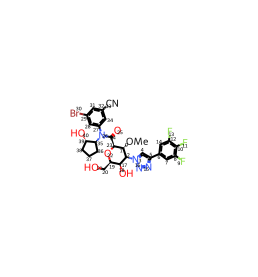 CO[C@@H]1[C@@H](n2cc(-c3cc(F)c(F)c(F)c3)nn2)[C@@H](O)[C@@H](CO)O[C@H]1C(=O)N(c1cc(Br)cc(C#N)c1)[C@H]1CCC[C@@H]1O